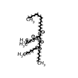 CCCCC/C=C\C/C=C\CCCCCCCC(=O)OCC(COC(=O)CCC(OCCCCCCCC)OCCCCCCCC)COC(=O)OCCN(C)C